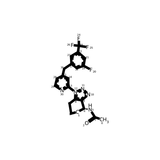 CC(=O)N[C@@H]1CCCc2c1nnn2-c1cc(Cc2cc(F)cc(C(F)(F)F)c2)ccn1